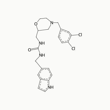 O=C(NCc1ccc2[nH]ccc2c1)NCC1CN(Cc2ccc(Cl)c(Cl)c2)CCO1